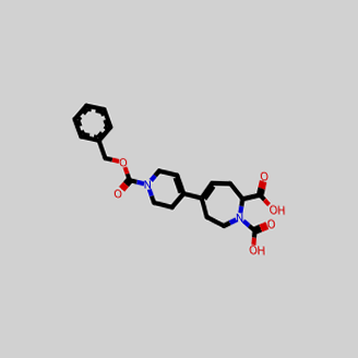 O=C(O)C1CC=C(C2=CCN(C(=O)OCc3ccccc3)CC2)CCN1C(=O)O